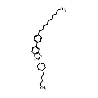 CCCCCCCCCCc1ccc(-c2ccc3oc([C@H]4CC[C@H](CCCCC)CC4)nc3c2)cc1